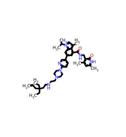 C=CCC(CC)(CC)CCNCCN1CCN(c2ccc(-c3cc(C(=O)NCc4c(C)cc(C)[nH]c4=O)c4c(C)cn(C(C)C)c4c3)cn2)CC1